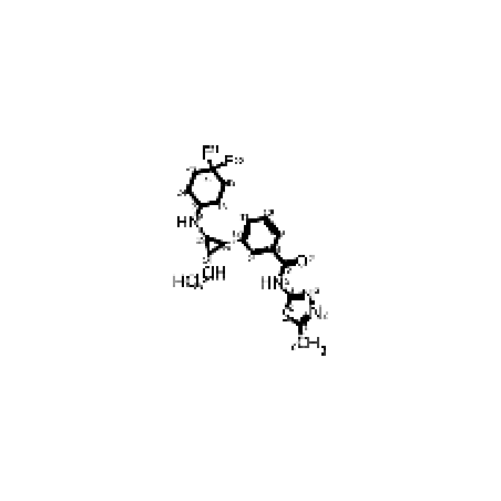 Cc1nnc(NC(=O)c2cccc([C@@H]3C[C@H]3NC3CCC(F)(F)CC3)c2)s1.Cl.Cl